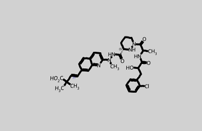 CC(NC(=O)C(O)Cc1ccccc1Cl)C(=O)N1CCC[C@@H](C(=O)NN(C)c2ccc3ccc(/C=C/C(C)(C)C(=O)O)cc3n2)N1